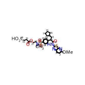 COc1ccc2nc(NC(=O)C(CC3CCCC3)c3ccc(S(=O)(=O)N(C)CCOC(=O)CCC(=O)O)cc3)sc2n1